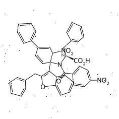 O=C(O)[C@H](Cc1ccccc1)N(C(=O)c1ccc([N+](=O)[O-])cc1)C1(c2c(Cc3ccccc3)oc3ccccc23)C=CC(c2ccccc2)=CC1[N+](=O)[O-]